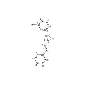 Cc1cccc([C@@H]2C[C@@H]2/C=C/c2ccccc2)c1